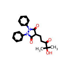 CC(C)(O)C(=O)CCC1C(=O)N(c2ccccc2)N(c2ccccc2)C1=O